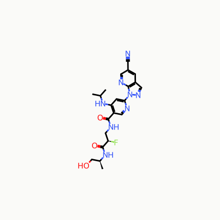 CC(C)Nc1cc(-n2ncc3cc(C#N)cnc32)ncc1C(=O)NC[C@@H](F)C(=O)N[C@@H](C)CO